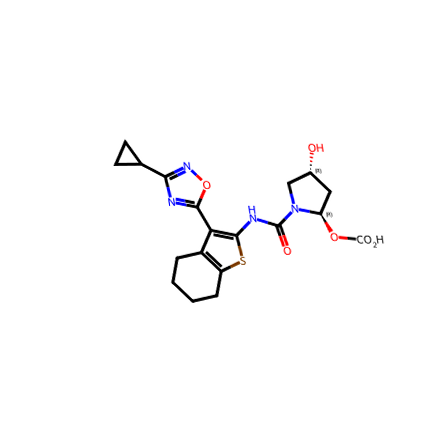 O=C(O)O[C@@H]1C[C@@H](O)CN1C(=O)Nc1sc2c(c1-c1nc(C3CC3)no1)CCCC2